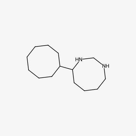 C1CCCC(C2CCCCNCN2)CCC1